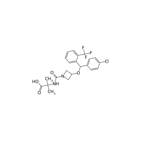 CC(C)(NC(=O)N1CC(OC(c2ccc(Cl)cc2)c2ccccc2C(F)(F)F)C1)C(=O)O